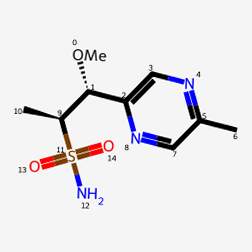 CO[C@H](c1cnc(C)cn1)[C@H](C)S(N)(=O)=O